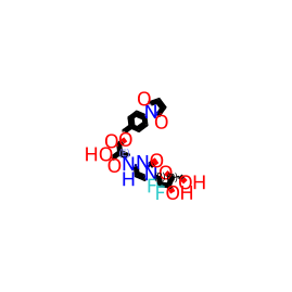 O=C(O)/C(=C\Nc1ccn([C@@H]2O[C@H](CO)C(O)C2(F)F)c(=O)n1)C(=O)OCc1ccc(N2C(=O)C=CC2=O)cc1